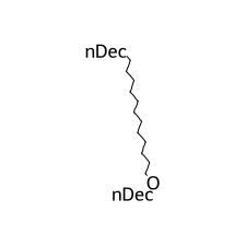 CCCCCCCCCCCCCCCCCCCCCCOCCCCCCCCCC